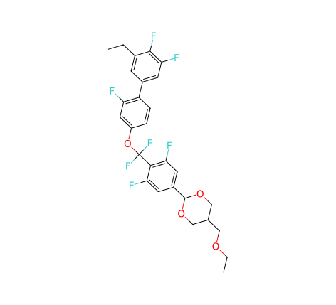 CCOCC1COC(c2cc(F)c(C(F)(F)Oc3ccc(-c4cc(F)c(F)c(CC)c4)c(F)c3)c(F)c2)OC1